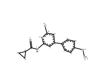 O=C(Nc1cc(-c2ccc(OC(F)(F)F)cc2)cc(Cl)n1)C1CC1